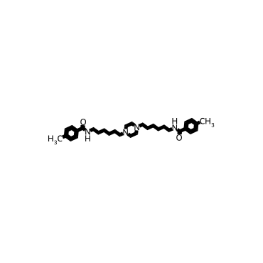 Cc1ccc(C(=O)NCCCCCCN2CCN(CCCCCCNC(=O)c3ccc(C)cc3)CC2)cc1